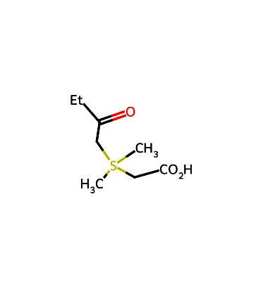 CCC(=O)CS(C)(C)CC(=O)O